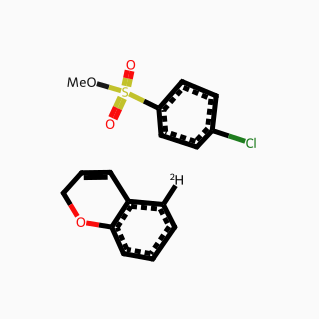 COS(=O)(=O)c1ccc(Cl)cc1.[2H]c1cccc2c1C=CCO2